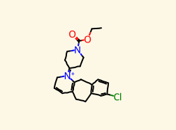 CCOC(=O)N1CCC(=[N+]2CC=CC3=C2Cc2ccc(Cl)cc2CC3)CC1